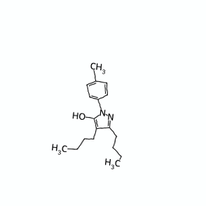 CCCCc1nn(-c2ccc(C)cc2)c(O)c1CCCC